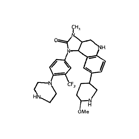 COC1CCC(c2ccc3c(c2)C2C(CN3)N(C)C(=O)N2c2ccc(N3CCNCC3)c(C(F)(F)F)c2)CN1